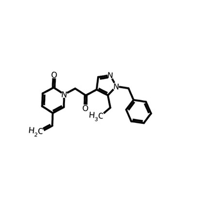 C=Cc1ccc(=O)n(CC(=O)c2cnn(Cc3ccccc3)c2CC)c1